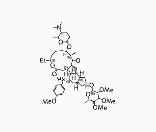 CC[C@H]1CCC[C@H](O[C@H]2CC[C@H](N(C)C)C(C)O2)[C@@H](C)C(=O)C2=C[C@H]3[C@@H]4C[C@H](O[C@@H]5OC(C)[C@H](OC)C(OC)C5OC)C[C@H]4C[C@H](Nc4ccc(OC)cc4)[C@H]3[C@@H]2CC(=O)O1